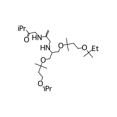 C=C(CNC(COC(C)(C)CCOC(C)C)COC(C)(C)CCOC(C)(C)CC)NCC(=O)C(C)C